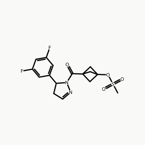 CS(=O)(=O)OC12CC(C(=O)N3N=CCC3c3cc(F)cc(F)c3)(C1)C2